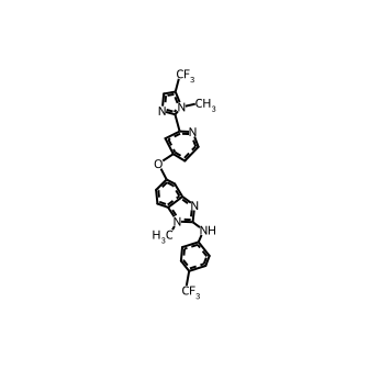 Cn1c(C(F)(F)F)cnc1-c1cc(Oc2ccc3c(c2)nc(Nc2ccc(C(F)(F)F)cc2)n3C)ccn1